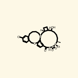 CCN1[C@H](C)CCCC(O)[C@@H]2CC[C@H]2CN2CCCCc3cc(Cl)ccc3COc3ccc(cc32)C(=O)NS1(=O)=O